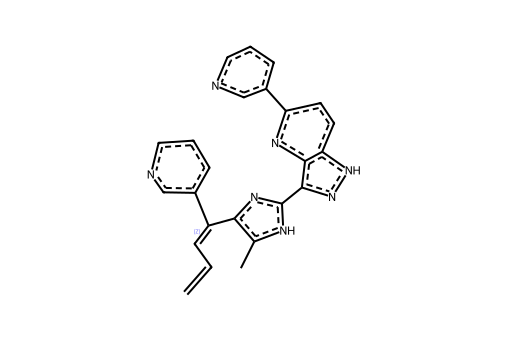 C=C/C=C(/c1cccnc1)c1nc(-c2n[nH]c3ccc(-c4cccnc4)nc23)[nH]c1C